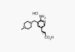 CN1CCN(Cc2cc(/C=C/C(=O)O)cnc2N)CC1.Cl